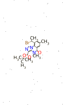 Cc1cc(C(C)Br)c2c(c1)c(=O)n(C)c1c(C(=O)OC(C)(C)C)ncn21